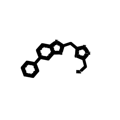 N#CCc1nnc(Cc2nc3ccc(-c4ccccc4)cc3s2)o1